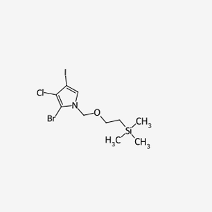 C[Si](C)(C)CCOCn1cc(I)c(Cl)c1Br